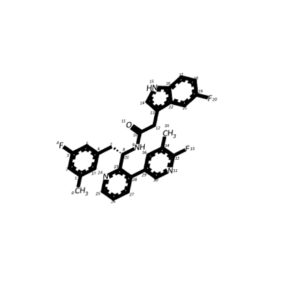 Cc1cc(F)cc(C[C@H](NC(=O)Cc2c[nH]c3ccc(F)cc23)c2ncccc2-c2cnc(F)c(C)c2)c1